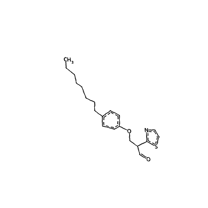 CCCCCCCCc1ccc(OCC(C=O)c2nccs2)cc1